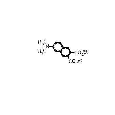 CCOC(=O)c1cc2ccc(N(C)C)cc2cc1C(=O)OCC